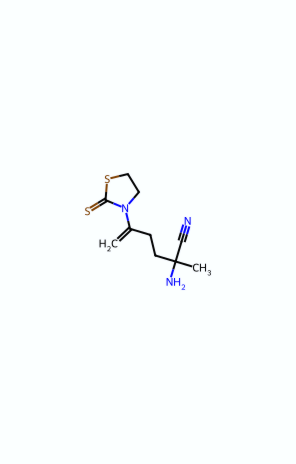 C=C(CCC(C)(N)C#N)N1CCSC1=S